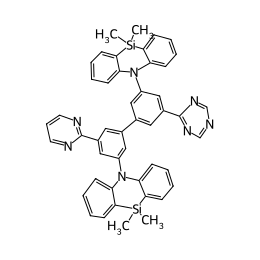 C[Si]1(C)c2ccccc2N(c2cc(-c3cc(-c4ncncn4)cc(N4c5ccccc5[Si](C)(C)c5ccccc54)c3)cc(-c3ncccn3)c2)c2ccccc21